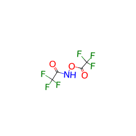 O=C(NOC(=O)C(F)(F)F)C(F)(F)F